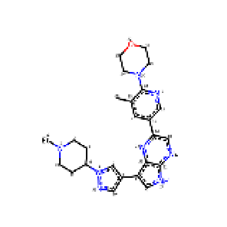 CCN1CCC(n2cc(-c3c[nH]c4ncc(-c5cnc(N6CCOCC6)c(C)c5)nc34)cn2)CC1